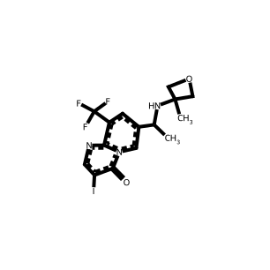 CC(NC1(C)COC1)c1cc(C(F)(F)F)c2ncc(I)c(=O)n2c1